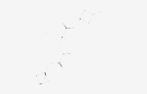 CC1CC(C)(OC(=O)C(C)(C)CC(C)C(=O)OC23CC(C2)C3)C1